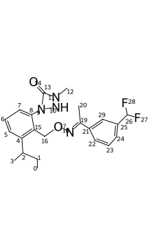 CCC(C)c1cccc(-n2[nH]n(C)c2=O)c1CON=C(C)c1cccc(C(F)F)c1